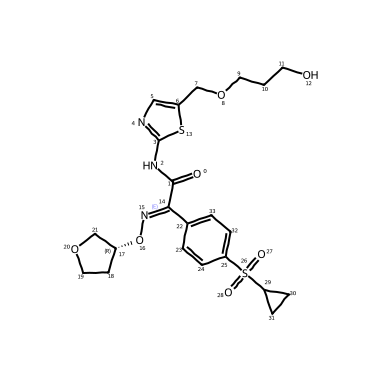 O=C(Nc1ncc(COCCCO)s1)/C(=N/O[C@@H]1CCOC1)c1ccc(S(=O)(=O)C2CC2)cc1